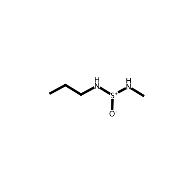 CCCN[S+]([O-])NC